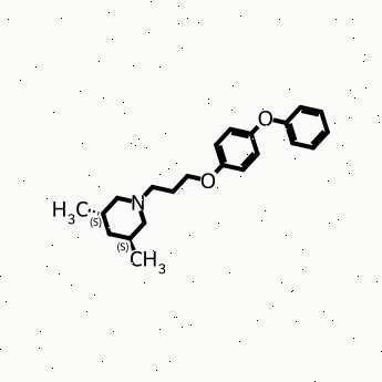 C[C@H]1C[C@H](C)CN(CCCOc2ccc(Oc3ccccc3)cc2)C1